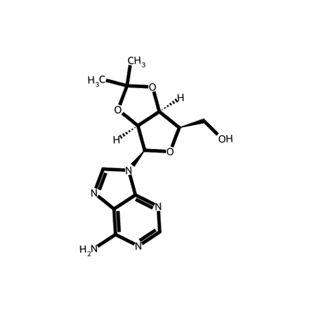 CC1(C)O[C@@H]2[C@H](O1)[C@H](n1cnc3c(N)ncnc31)O[C@@H]2CO